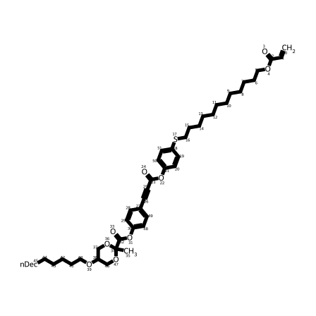 C=CC(=O)OCCCCCCCCCCCCSc1ccc(OC(=O)C#Cc2ccc(OC(=O)C3(C)OCC(OCCCCCCCCCCCCCCC)CO3)cc2)cc1